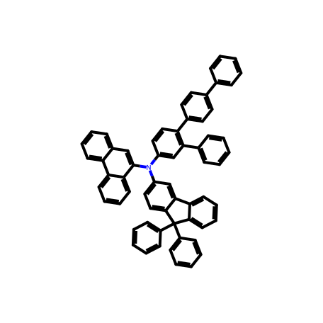 c1ccc(-c2ccc(-c3ccc(N(c4ccc5c(c4)-c4ccccc4C5(c4ccccc4)c4ccccc4)c4cc5ccccc5c5ccccc45)cc3-c3ccccc3)cc2)cc1